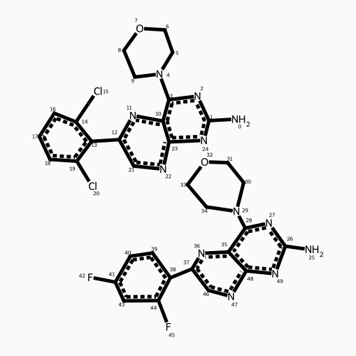 Nc1nc(N2CCOCC2)c2nc(-c3c(Cl)cccc3Cl)cnc2n1.Nc1nc(N2CCOCC2)c2nc(-c3ccc(F)cc3F)cnc2n1